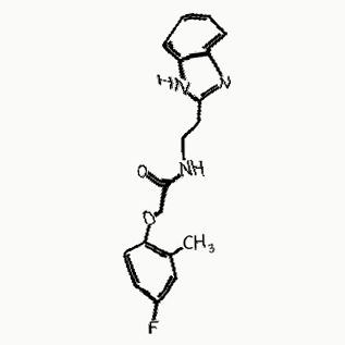 Cc1cc(F)ccc1OCC(=O)NCCc1nc2ccccc2[nH]1